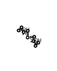 Cc1cc(-c2ccccc2OCC2CCCC[C@@H]2COc2ccccc2-c2cc(C)cc(-n3c4ccccc4c4ccccc43)c2O)c(O)c(-n2c3ccccc3c3ccccc32)c1